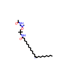 CCCCCCCC/C=C\CCCCCCCCCCCC(=O)NCC(C)(C)CON(C)CNC(C)=O